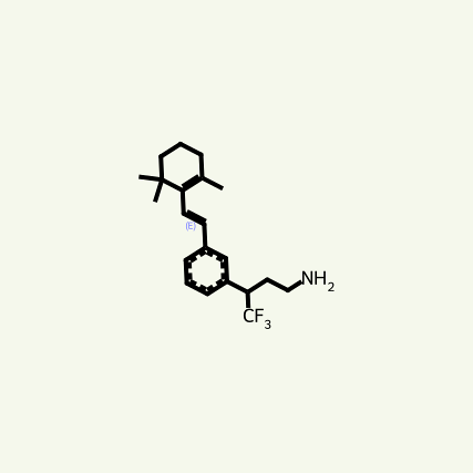 CC1=C(/C=C/c2cccc(C(CCN)C(F)(F)F)c2)C(C)(C)CCC1